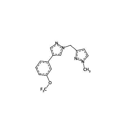 Cn1ccc(Cn2cc(-c3cccc(OC(F)(F)F)c3)cn2)n1